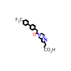 O=C(O)CCc1cc2n(n1)CCN(C(=O)Cc1ccc(-c3ccc(C(F)(F)F)cc3)cc1)C2